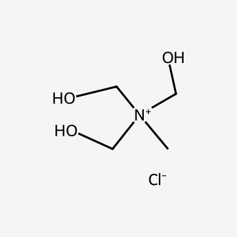 C[N+](CO)(CO)CO.[Cl-]